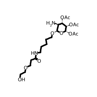 CC(=O)O[C@@H]1O[C@H](OCCCCCNC(=O)CCOCCO)[C@@H](N)[C@H](OC(C)=O)[C@@H]1OC(C)=O